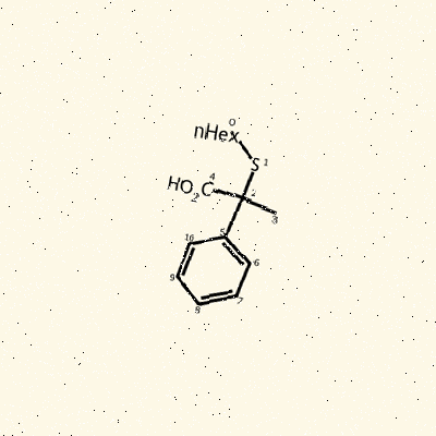 CCCCCCSC(C)(C(=O)O)c1ccccc1